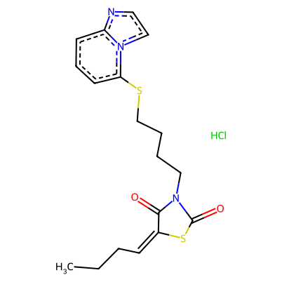 CCCC=C1SC(=O)N(CCCCSc2cccc3nccn23)C1=O.Cl